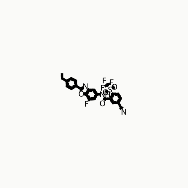 CCc1ccc(-c2nc3cc(NC(=O)c4cc(C#N)ccc4S(=O)(=O)C(F)(F)F)cc(F)c3o2)cc1